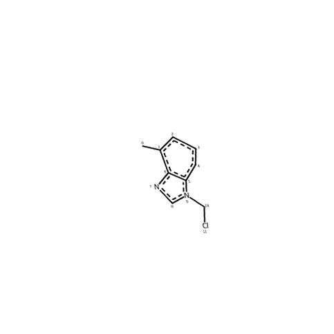 Cc1cccc2c1ncn2CCl